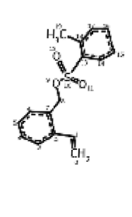 C=Cc1ccccc1COS(=O)(=O)c1ccccc1C